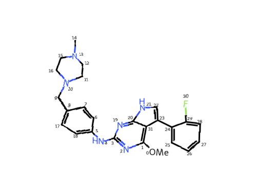 COc1nc(Nc2ccc(CN3CCN(C)CC3)cc2)nc2[nH]cc(-c3ccccc3F)c12